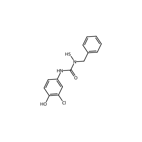 O=C(Nc1ccc(O)c(Cl)c1)N(S)Cc1ccccc1